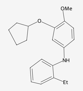 CCc1ccccc1Nc1ccc(OC)c(OC2CCCC2)c1